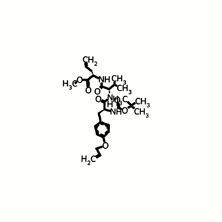 C=CCOc1ccc(C[C@H](NC(=O)OC(C)(C)C)C(=O)N[C@H](C(=O)N[C@@H](CC=C)C(=O)OC)C(C)C)cc1